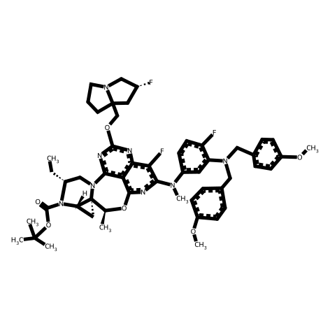 CC[C@@H]1CN2c3nc(OCC45CCCN4C[C@H](F)C5)nc4c(F)c(N(C)c5ccc(F)c(N(Cc6ccc(OC)cc6)Cc6ccc(OC)cc6)c5)nc(c34)O[C@@H](C)[C@]23C[C@@H]3N1C(=O)OC(C)(C)C